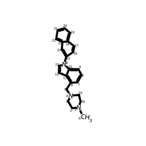 CN1CCN(Cc2cccc3c2ccn3-c2ccc3ccccc3c2)CC1